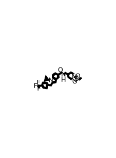 CCS(=O)(=O)N1CCC(CNC(=O)c2ccc3c(c2)cc(Cc2ccc(C(F)(F)F)cc2)n3C2CC2)CC1